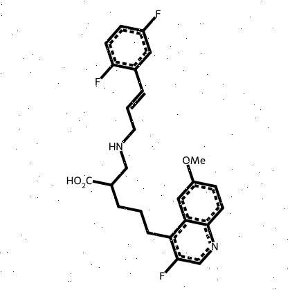 COc1ccc2ncc(F)c(CCCC(CNCC=Cc3cc(F)ccc3F)C(=O)O)c2c1